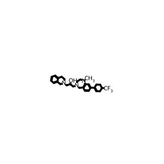 CN1CCN(CC(O)CN2CCc3ccccc3C2)Cc2ccc(C3=CCC(C(F)(F)F)CC3)cc21